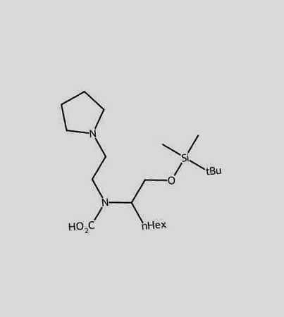 CCCCCCC(CO[Si](C)(C)C(C)(C)C)N(CCN1CCCC1)C(=O)O